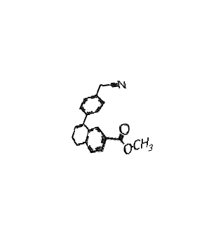 COC(=O)c1ccc2c(c1)C(c1ccc(CC#N)cc1)=CCC2